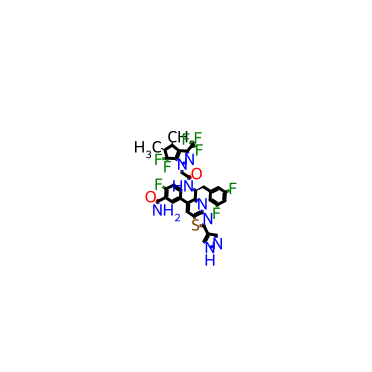 C[C@@H]1c2c(C(F)(F)F)nn(CC(=O)N[C@@H](Cc3cc(F)cc(F)c3)c3nc4nc(-c5cn[nH]c5)sc4cc3-c3ccc(F)c(C(N)=O)c3)c2C(F)(F)[C@@H]1C